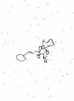 [N-]=[N+]=C(S(=O)(=O)CC=CC1CCCCC1)S(=O)(=O)c1ccccc1F